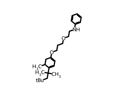 CC1CC(OCCCOCCNc2ccccc2)=CC=C1C(C)(C)CC(C)(C)C